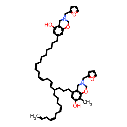 C=CC/C=C\C/C=C\CCCC(/C=C/C/C=C\C/C=C\CCCCCCCc1cc(O)c2c(c1)OCN(Cc1ccco1)C2)CCCc1cc(O)c(C)c2c1CN(Cc1ccco1)CO2